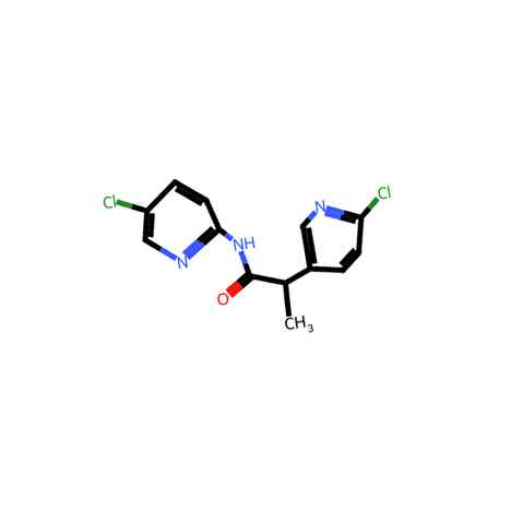 CC(C(=O)Nc1ccc(Cl)cn1)c1ccc(Cl)nc1